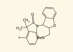 CNCC1Oc2ccccc2C1N1C(=O)C(C)(C)c2c(I)cccc21